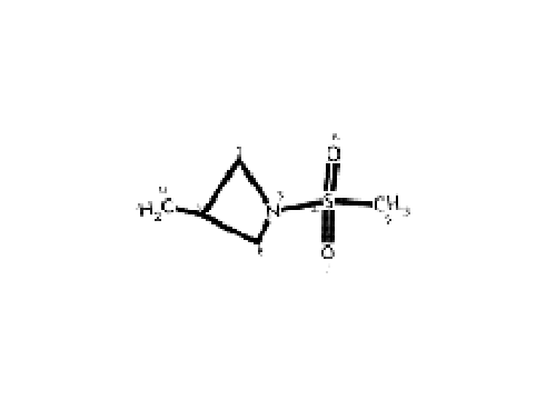 [CH2]C1CN(S(C)(=O)=O)C1